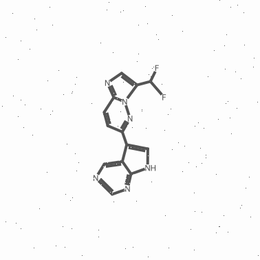 FC(F)c1cnc2ccc(-c3c[nH]c4ncncc34)nn12